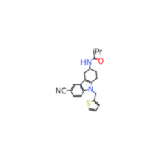 CC(C)C(=O)NC1CCc2c(c3cc(C#N)ccc3n2Cc2cccs2)C1